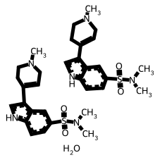 CN1CC=C(c2c[nH]c3ccc(S(=O)(=O)N(C)C)cc23)CC1.CN1CC=C(c2c[nH]c3ccc(S(=O)(=O)N(C)C)cc23)CC1.O